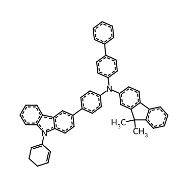 CC1(C)c2ccccc2-c2ccc(N(c3ccc(-c4ccccc4)cc3)c3ccc(-c4ccc5c(c4)c4ccccc4n5C4=CCCC=C4)cc3)cc21